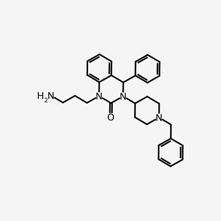 NCCCN1C(=O)N(C2CCN(Cc3ccccc3)CC2)C(c2ccccc2)c2ccccc21